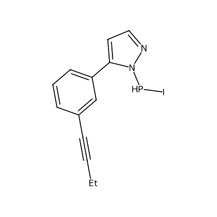 CCC#Cc1cccc(-c2ccnn2PI)c1